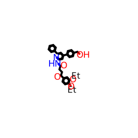 CCOc1ccc(C(=O)CCC(=O)Nc2cc(-c3ccc(CO)cc3)cc(-c3ccccc3)n2)cc1OCC